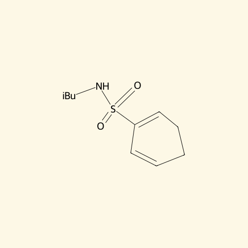 CCC(C)NS(=O)(=O)C1=CCCC=C1